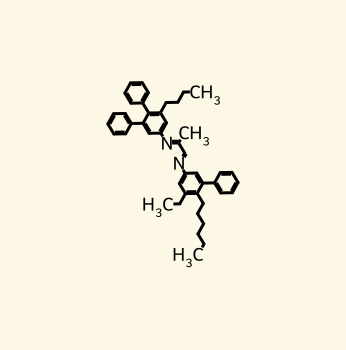 CCCCCCc1c(CC)cc(N=CC(C)=Nc2cc(CCCC)c(-c3ccccc3)c(-c3ccccc3)c2)cc1-c1ccccc1